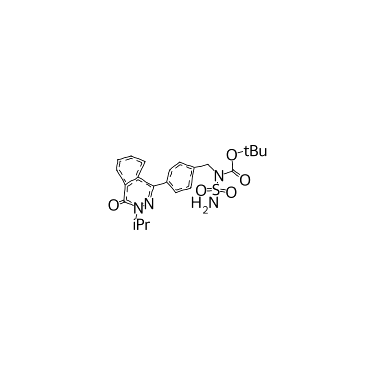 CC(C)n1nc(-c2ccc(CN(C(=O)OC(C)(C)C)S(N)(=O)=O)cc2)c2ccccc2c1=O